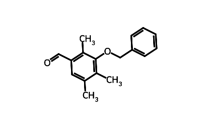 Cc1cc(C=O)c(C)c(OCc2ccccc2)c1C